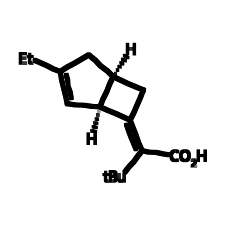 CCC1=C[C@@H]2C(=C(C(=O)O)C(C)(C)C)C[C@@H]2C1